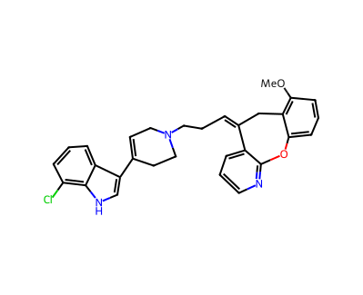 COc1cccc2c1C/C(=C/CCN1CC=C(c3c[nH]c4c(Cl)cccc34)CC1)c1cccnc1O2